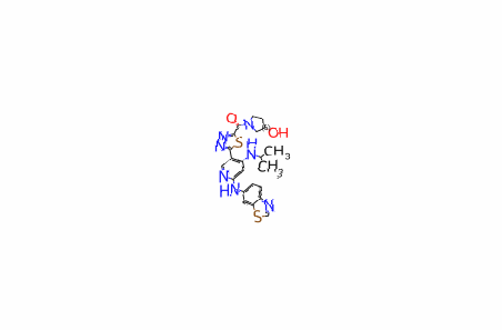 CC(C)Nc1cc(Nc2ccc3ncsc3c2)ncc1-c1nnc(C(=O)N2CC[C@H](O)C2)s1